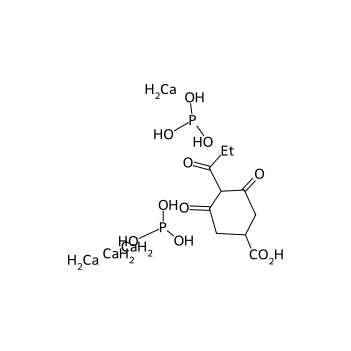 CCC(=O)C1C(=O)CC(C(=O)O)CC1=O.OP(O)O.OP(O)O.[CaH2].[CaH2].[CaH2].[CaH2]